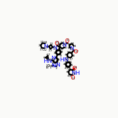 CC(C)n1cnc2cc(-c3ccc4c(c3)N(C3CC(N5CCCCC5)C3)C(=O)C43CCN(C(=O)[C@@H]4CCN(C(=O)C5CCC(Nc6ccc([C@H]7CCC(=O)NC7=O)cc6)CC5)C4)CC3)nc(NC3CC3)c21